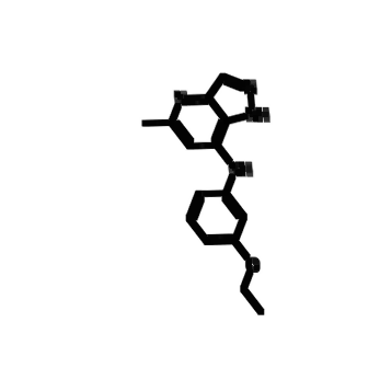 CCOc1cccc(Nc2cc(C)nc3cn[nH]c23)c1